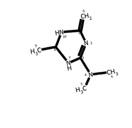 C=C1N=C(N(C)C)NC(C)N1